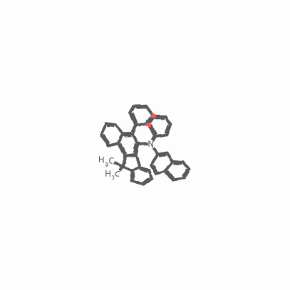 CC1(C)c2ccccc2-c2c(N(c3ccccc3)c3ccc4ccccc4c3)c(-c3ccccc3)c3ccccc3c21